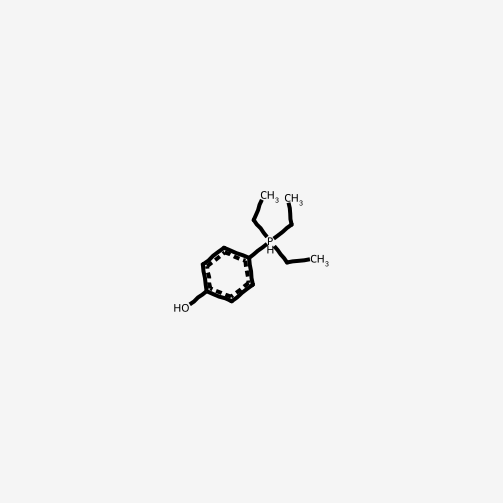 CC[PH](CC)(CC)c1ccc(O)cc1